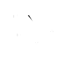 CC(=O)[C@H](CS)C(=O)O